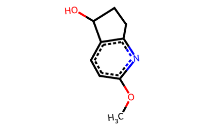 COc1ccc2c(n1)CCC2O